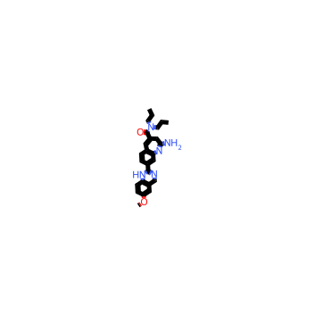 CCCN(CCC)C(=O)C1=Cc2ccc(C3=NCc4cc(OC)ccc4N3)cc2N=C(N)C1